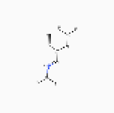 C=CC(/C=N/C(C)C)CC(C)C